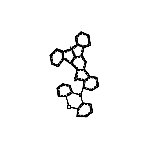 c1ccc2c(c1)Oc1ccccc1B2c1cccc2c1sc1c2cc2c3ccccc3n3c4ccccc4c1c23